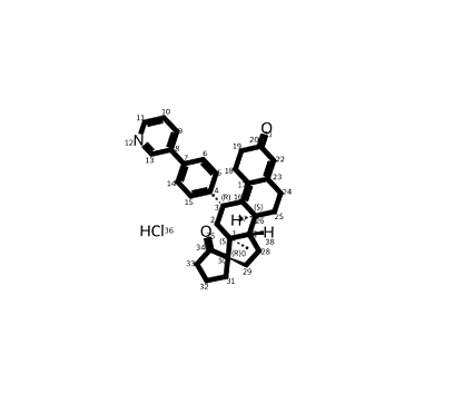 C[C@]12C[C@H](c3ccc(-c4cccnc4)cc3)C3=C4CCC(=O)C=C4CC[C@H]3[C@@H]1CC[C@]21CCCC1=O.Cl